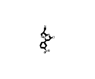 N#Cc1cnn2c(-c3cccc([N+](=O)[O-])c3)cc(Cl)nc12